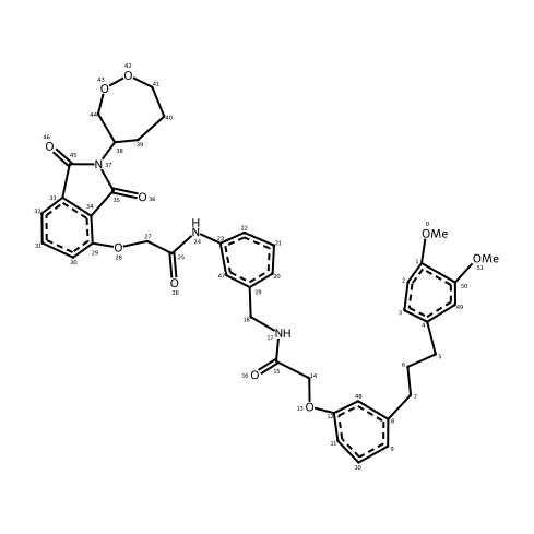 COc1ccc(CCCc2cccc(OCC(=O)NCc3cccc(NC(=O)COc4cccc5c4C(=O)N(C4CCCOOC4)C5=O)c3)c2)cc1OC